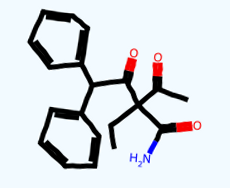 CCC(C(C)=O)(C(N)=O)C(=O)C(c1ccccc1)c1ccccc1